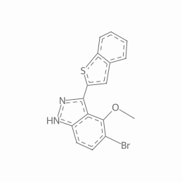 COc1c(Br)ccc2[nH]nc(-c3cc4ccccc4s3)c12